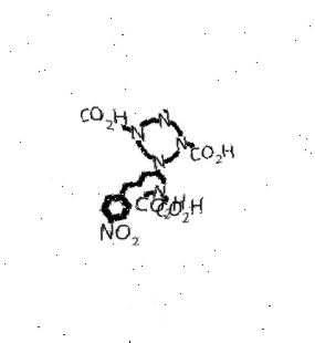 CN1CCN(CC(=O)O)CCN(C(CCCc2ccc([N+](=O)[O-])cc2)CN(CC(=O)O)CC(=O)O)CCN(CC(=O)O)CC1